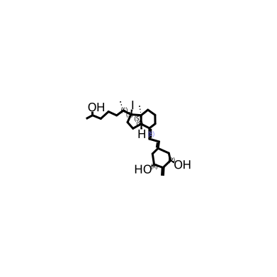 C=C1[C@H](O)CC(=C/C=C2\CCC[C@@]3(C)[C@H]2CC[C@]3(I)[C@@H](C)CCCC(C)O)C[C@H]1O